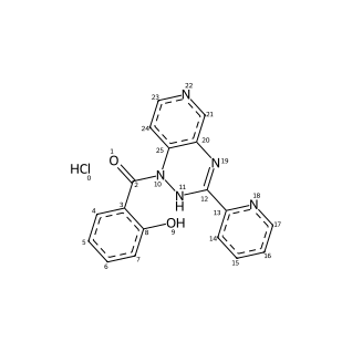 Cl.O=C(c1ccccc1O)N1NC(c2ccccn2)=Nc2cnccc21